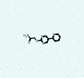 NC(=O)COc1ncc(-c2ccccn2)cn1